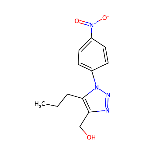 CCCc1c(CO)nnn1-c1ccc([N+](=O)[O-])cc1